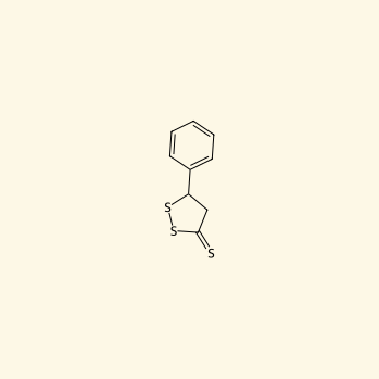 S=C1CC(c2ccccc2)SS1